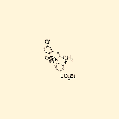 CCOC(=O)c1ccc(N2C(C)Cc3cc(Cl)ccc3S2(=O)=O)c(F)c1